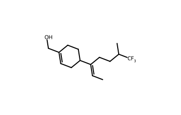 C/C=C(\CCC(C)C(F)(F)F)C1CC=C(CO)CC1